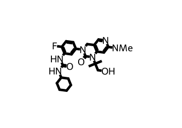 CNc1cc2c(cn1)CN(c1ccc(F)c(NC(=O)NC3CCCCC3)c1)C(=O)N2C(C)(C)CO